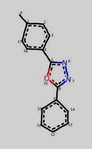 Cc1ccc(-c2nnc(-c3cc[c]cc3)o2)cc1